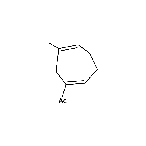 CC(=O)C1=CCCC=C(C)C1